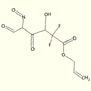 C=CCOC(=O)C(F)(F)C(O)C(=O)C(C=O)N=O